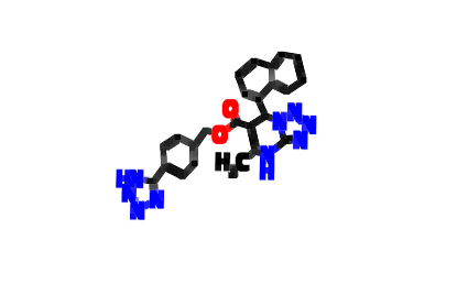 CC1=C(C(=O)OCc2ccc(-c3nnn[nH]3)cc2)C(c2cccc3ccccc23)n2nnnc2N1